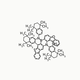 Cc1cc2c(cc1N1c3cc4c(sc5ccccc54)c4c3B(c3ccc5oc6ccccc6c5c31)N(c1ccc3c(c1)C(C)(C)CCC3(C)C)c1cc3c(cc1-4)C(C)(C)CCC3(C)C)C(C)(C)CCC2(C)C